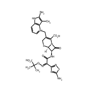 Cc1c(N)[nH]c2ccc[n+](CC3=C(C(=O)O)N4C(=O)[C@@H](NC(=O)/C(=N\OC(C)(C)C(=O)O)c5nsc(N)n5)[C@H]4SC3)c12